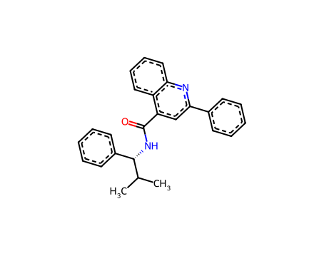 CC(C)[C@@H](NC(=O)c1cc(-c2ccccc2)nc2ccccc12)c1ccccc1